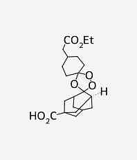 CCOC(=O)CC1CCC2(CC1)OOC1(O2)C2CC3C[C@H]1CC(C(=O)O)(C3)C2